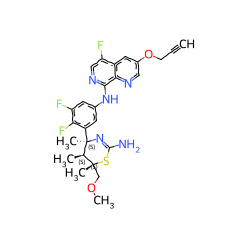 C#CCOc1cnc2c(Nc3cc(F)c(F)c([C@@]4(C)N=C(N)S[C@](C)(COC)[C@H]4C)c3)ncc(F)c2c1